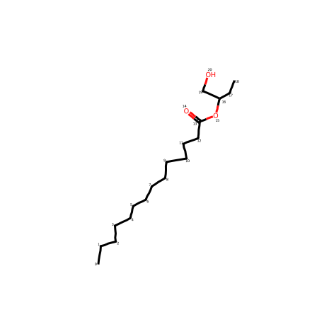 CCCCCCCCCCCCCC(=O)OC(CC)CO